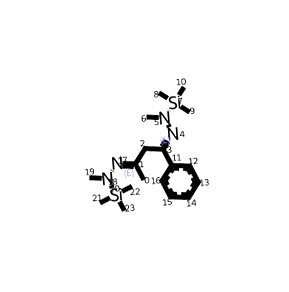 C/C(C/C(=N\N(C)[Si](C)(C)C)c1ccccc1)=N\N(C)[Si](C)(C)C